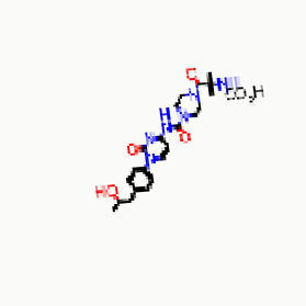 CC(O)Cc1ccc(-n2ccc(NC(=O)N3CCN(C(=O)C(C)(C)NC(=O)O)CC3)nc2=O)cc1